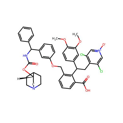 COc1ccc(C(Cc2c(Cl)c[n+]([O-])cc2Cl)c2c(COc3cccc(C(NC(=O)O[C@H]4CN5CCC4CC5)c4ccccc4)c3)cccc2C(=O)O)cc1OC